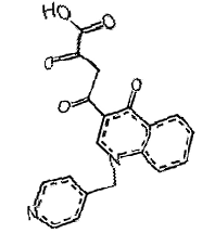 O=C(O)C(=O)CC(=O)c1cn(Cc2ccncc2)c2ccccc2c1=O